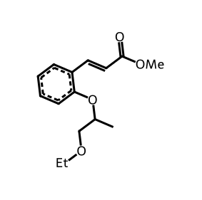 CCOCC(C)Oc1ccccc1/C=C/C(=O)OC